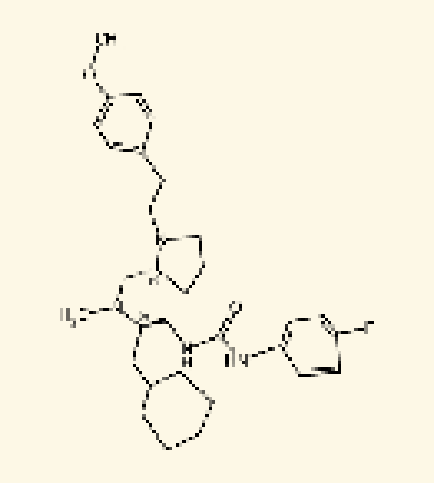 COc1ccc(CCN2CCC[C@@H]2CN(C)[C@@H](CNC(=O)Nc2ccc(F)cc2)CC2CCCCC2)cc1